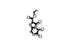 CCOC(=O)c1nc2cnc(Cl)c(Cl)n2c1Cl